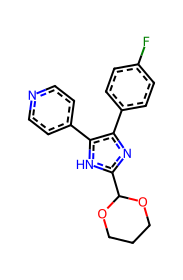 Fc1ccc(-c2nc(C3OCCCO3)[nH]c2-c2ccncc2)cc1